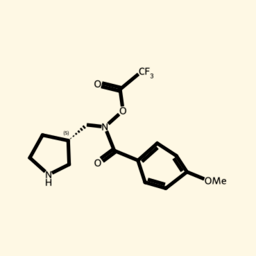 COc1ccc(C(=O)N(C[C@H]2CCNC2)OC(=O)C(F)(F)F)cc1